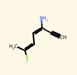 C#C/C(N)=C\C=C(/C)F